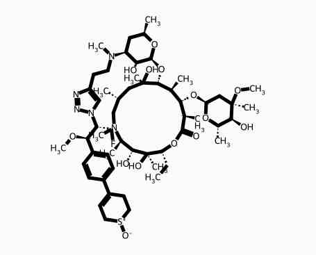 CC[C@H]1OC(=O)[C@H](C)[C@@H](O[C@H]2C[C@@](C)(OC)[C@@H](O)[C@H](C)O2)[C@H](C)[C@@H](O[C@@H]2O[C@H](C)C[C@H](N(C)CCc3cn([C@H](CF)[C@H](OC)c4ccc(C5=CC[S+]([O-])CC5)cc4)nn3)[C@H]2O)[C@](C)(O)C[C@@H](C)CN(C)[C@H](C)[C@@H](O)[C@]1(C)O